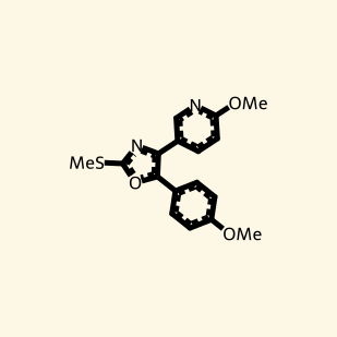 COc1ccc(-c2oc(SC)nc2-c2ccc(OC)nc2)cc1